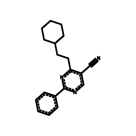 N#Cc1cnc(-c2ccccc2)nc1CCC1CCCCC1